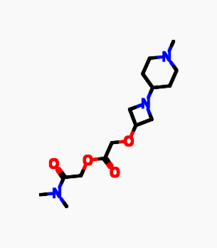 CN1CCC(N2CC(OCC(=O)OCC(=O)N(C)C)C2)CC1